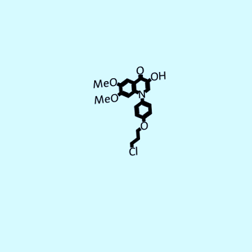 COc1cc2c(=O)c(O)cn(-c3ccc(OCCCCl)cc3)c2cc1OC